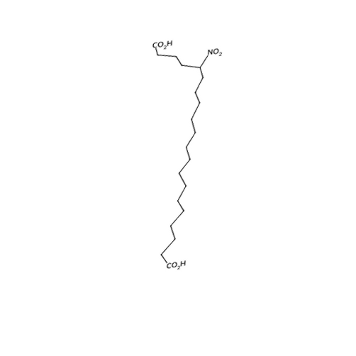 O=C(O)CCCCCCCCCCCCCCC(CCCC(=O)O)[N+](=O)[O-]